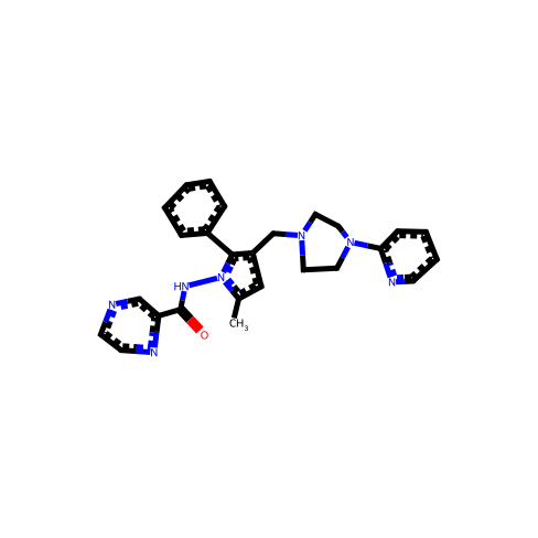 Cc1cc(CN2CCN(c3ccccn3)CC2)c(-c2ccccc2)n1NC(=O)c1cnccn1